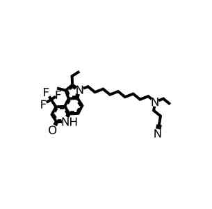 CCc1c(C)c2c3c(C(F)(F)F)cc(=O)[nH]c3ccc2n1CCCCCCCCCN(CC)CCC#N